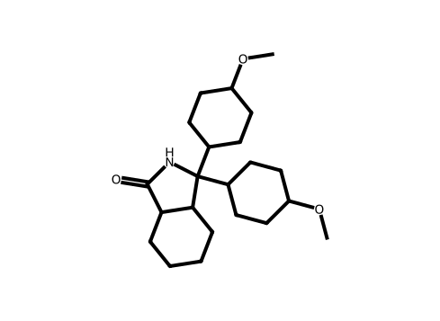 COC1CCC(C2(C3CCC(OC)CC3)NC(=O)C3CCCCC32)CC1